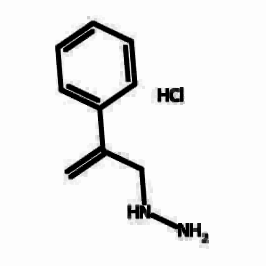 C=C(CNN)c1ccccc1.Cl